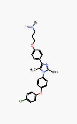 CCCCc1nc(-c2ccc(OCCCN(CC)CC)cc2)c(C)n1-c1ccc(Oc2ccc(Cl)cc2)cc1